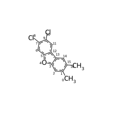 Cc1cc2oc3cc(Cl)c(Cl)cc3c2cc1C